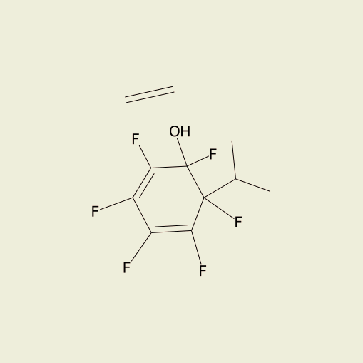 C=C.CC(C)C1(F)C(F)=C(F)C(F)=C(F)C1(O)F